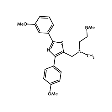 CNCCN(C)Cc1sc(-c2cccc(OC)c2)nc1-c1ccc(OC)cc1